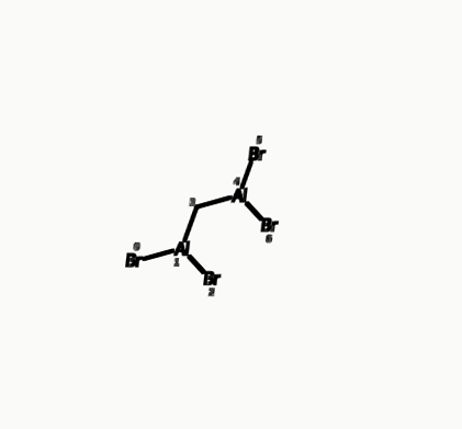 [Br][Al]([Br])[CH2][Al]([Br])[Br]